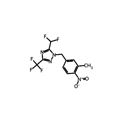 Cc1cc(Cn2nc(C(F)(F)F)nc2C(F)F)ccc1[N+](=O)[O-]